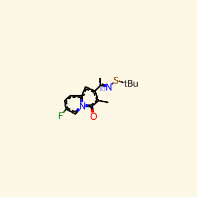 C/C(=N\SC(C)(C)C)c1cc2ccc(F)cn2c(=O)c1C